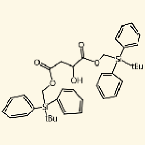 CC(C)(C)[Si](COC(=O)CC(O)C(=O)OC[Si](c1ccccc1)(c1ccccc1)C(C)(C)C)(c1ccccc1)c1ccccc1